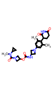 Cc1cc(N2CC(NC(=O)OC3CN(C(=O)N(C)C4CC4)C3)C2)cc(C)c1C1CCC(=O)NC1=O